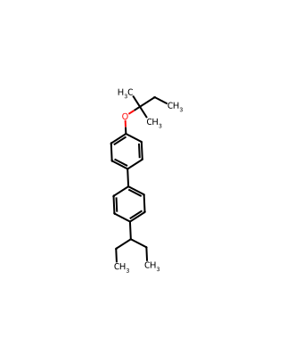 CCC(CC)c1ccc(-c2ccc(OC(C)(C)CC)cc2)cc1